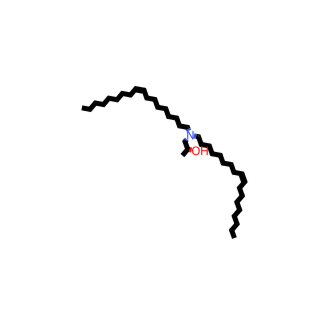 CCCCCCCC/C=C\CCCCCCCCN(CCCCCCCC/C=C\CCCCCCCC)CC(C)O